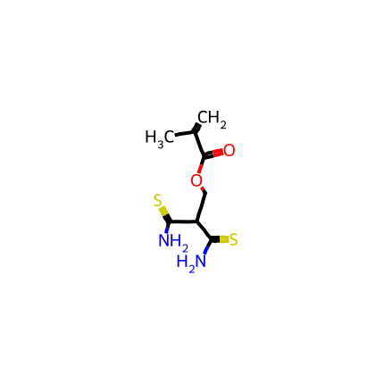 C=C(C)C(=O)OCC(C(N)=S)C(N)=S